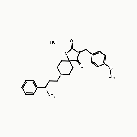 Cl.N[C@@H](CCN1CCC2(CC1)NC(=O)N(Cc1ccc(OC(F)(F)F)cc1)C2=O)c1ccccc1